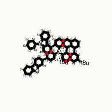 CC(C)(C)c1cc(-c2cccc3cccc(-c4ccccc4N(c4ccc(-c5ccc6c(c5)oc5ccccc56)cc4)c4ccccc4-c4cccc5c4c4ccccc4n5-c4ccccc4)c23)cc(C(C)(C)C)c1